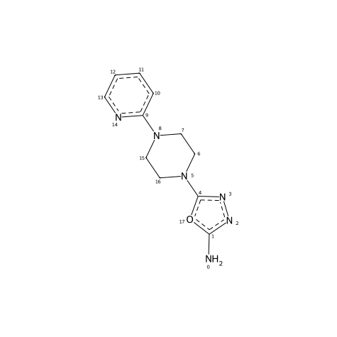 Nc1nnc(N2CCN(c3ccccn3)CC2)o1